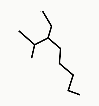 [CH2]CC(CCCCC)C(C)C